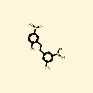 Cc1cc(CCc2cc(B(O)O)ccc2C)cc(B(O)O)c1